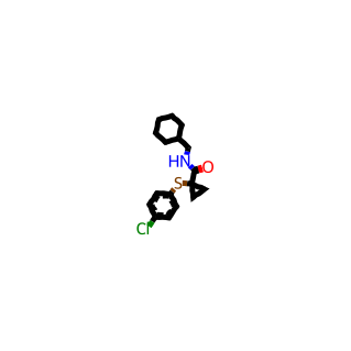 O=C(NCC1CCCCC1)C1(Sc2ccc(Cl)cc2)CC1